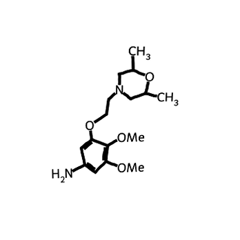 COc1cc(N)cc(OCCN2CC(C)OC(C)C2)c1OC